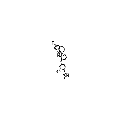 COc1cc(/C=C2\CCCN3C2=NOC32CCCc3cc(F)ccc32)ccc1-n1cnc(C)c1